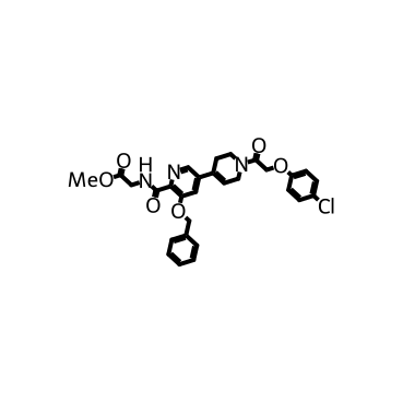 COC(=O)CNC(=O)c1ncc(C2=CCN(C(=O)COc3ccc(Cl)cc3)CC2)cc1OCc1ccccc1